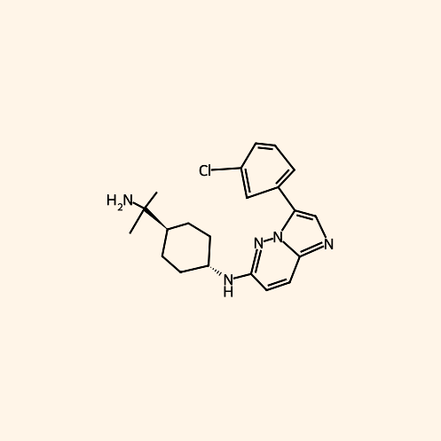 CC(C)(N)[C@H]1CC[C@H](Nc2ccc3ncc(-c4cccc(Cl)c4)n3n2)CC1